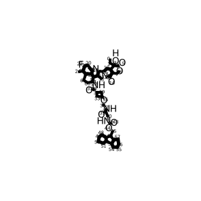 CC[C@@]1(O)C(=O)OCc2c1cc1n(c2=O)Cc2c-1nc1cc(F)c(C)c3c1c2[C@@H](NC(=O)[C@H]1C[C@@H](OCNC(=O)CNC(=O)OCC2c4ccccc4-c4ccccc42)C1)CC3